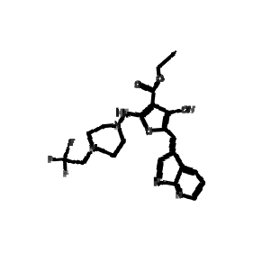 CCOC(=O)c1c(NN2CCN(CC(F)(F)F)CC2)oc(/C=C2\C=Nc3ncccc32)c1O